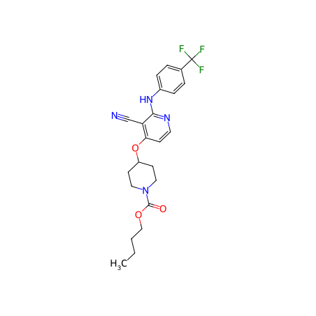 CCCCOC(=O)N1CCC(Oc2ccnc(Nc3ccc(C(F)(F)F)cc3)c2C#N)CC1